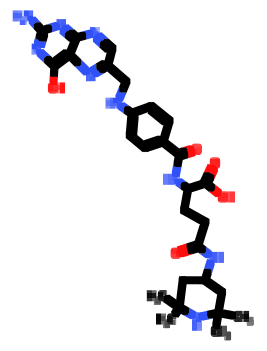 CC1(C)CC(NC(=O)CCC(NC(=O)c2ccc(NCc3cnc4nc(N)nc(O)c4n3)cc2)C(=O)O)CC(C)(C)N1